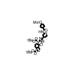 COc1ccc(C(=O)Nc2cc(-c3nsc(N(C(=O)OC(C)(C)C)c4ccc5c(cnn5C(=O)OC(C)(C)C)c4Cl)n3)ccn2)cc1